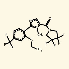 CCSc1cc(C(F)(F)F)ccc1-c1ncc(C(=O)N2CC(F)(F)C(F)(F)C2)n1C